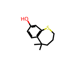 CC1(C)CCCSc2cc(O)ccc21